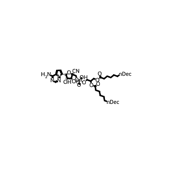 CCCCCCCCCCCCCCCC(=O)OCC(COP(=O)(O)OC[C@@]1(C#N)O[C@@H](c2ccc3c(N)ncnn23)[C@H](O)[C@@H]1O)OC(=O)CCCCCCCCCCCCCCC